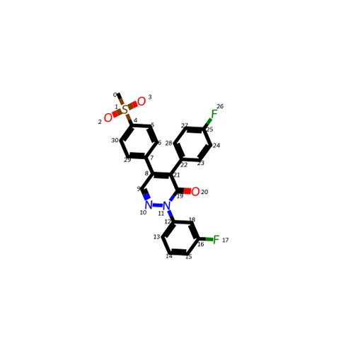 CS(=O)(=O)c1ccc(-c2cnn(-c3cccc(F)c3)c(=O)c2-c2ccc(F)cc2)cc1